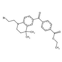 CCOC(=O)c1ccc(C(=O)c2ccc3c(c2)C(C)(C)CCN3CCBr)cc1